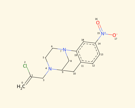 C=C(Cl)CN1CCN2CC1Cc1ccc([N+](=O)[O-])cc12